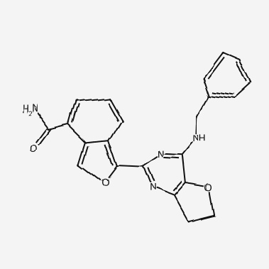 NC(=O)c1cccc2c(-c3nc4c(c(NCc5ccccc5)n3)OCC4)occ12